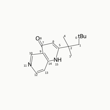 CC(C)(C)CC(C)(C)c1cc(=O)c2cnccc2[nH]1